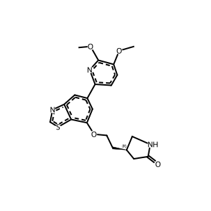 COc1ccc(-c2cc(OCC[C@H]3CNC(=O)C3)c3scnc3c2)nc1OC